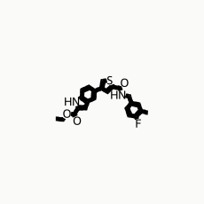 CCOC(=O)c1cc2cc(-c3csc(C(=O)NCc4ccc(F)c(C)c4)c3)ccc2[nH]1